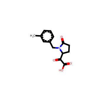 Cc1cccc(CN2C(=O)CCC2C(=O)C(=O)O)c1